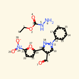 CCOC(=O)NN.O=Cc1cn(-c2ccccc2)nc1-c1ccc([N+](=O)[O-])o1